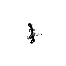 O=C(CCC(=O)N1CCNC[C@]1(C(=O)O)C(=O)OCc1ccccc1)NOCc1ccccc1